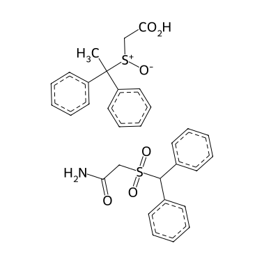 CC(c1ccccc1)(c1ccccc1)[S+]([O-])CC(=O)O.NC(=O)CS(=O)(=O)C(c1ccccc1)c1ccccc1